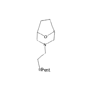 CCCCCCCN1CC2CCC(C1)O2